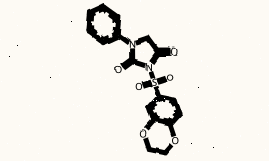 O=C1CN(c2ccccc2)C(=O)N1S(=O)(=O)c1ccc2c(c1)OCCO2